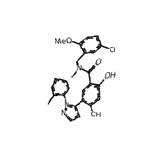 COc1ccc(Cl)cc1CN(C)C(=O)c1cc(-c2ccnn2-c2ccccc2C)c(O)cc1O